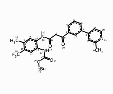 Cc1cc(-c2cccc(C(=O)CC(=O)Nc3cc(C)c(C(F)(F)F)cc3NC(=O)OC(C)(C)C)c2)ccn1